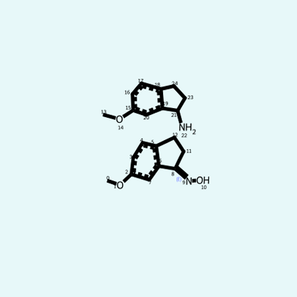 COc1ccc2c(c1)/C(=N/O)CC2.COc1ccc2c(c1)C(N)CC2